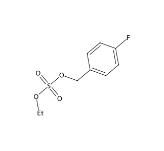 CCOS(=O)(=O)OCc1ccc(F)cc1